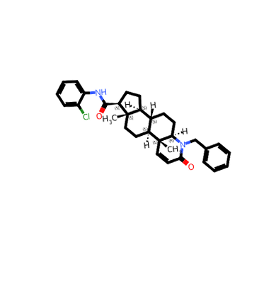 C[C@]12C=CC(=O)N(Cc3ccccc3)[C@@H]1CC[C@@H]1[C@@H]2CC[C@]2(C)[C@@H](C(=O)Nc3ccccc3Cl)CC[C@@H]12